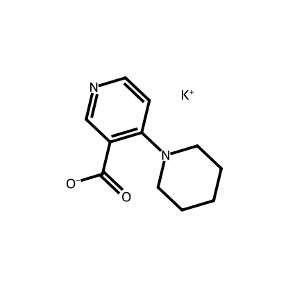 O=C([O-])c1cnccc1N1CCCCC1.[K+]